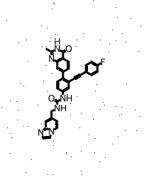 Cc1nc2cc(-c3ccc(NC(=O)NCc4ccn5ccnc5c4)cc3C#Cc3ccc(F)cc3)ccc2c(=O)[nH]1